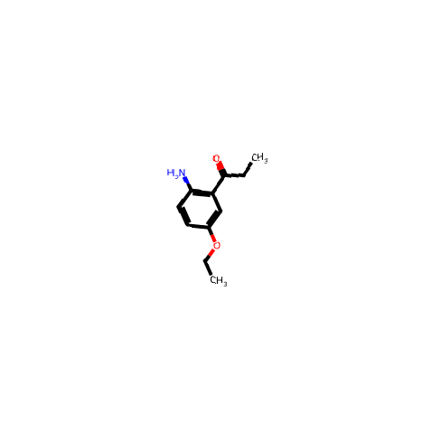 CCOc1ccc(N)c(C(=O)CC)c1